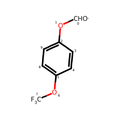 O=[C]Oc1ccc(OC(F)(F)F)cc1